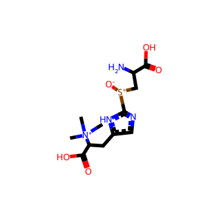 C[N+](C)(C)C(Cc1cnc([S+]([O-])CC(N)C(=O)O)[nH]1)C(=O)O